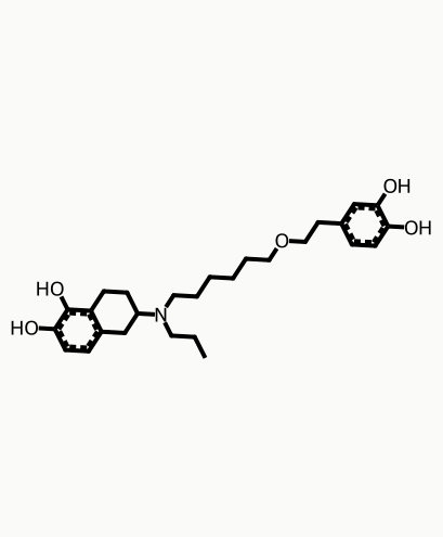 CCCN(CCCCCCOCCc1ccc(O)c(O)c1)C1CCc2c(ccc(O)c2O)C1